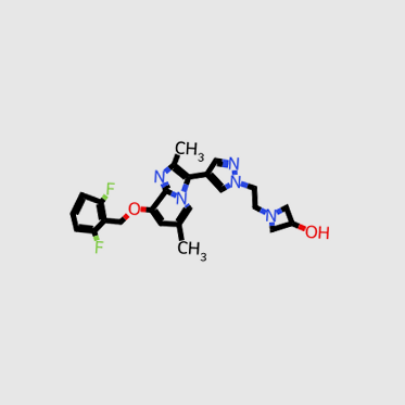 Cc1cc(OCc2c(F)cccc2F)c2nc(C)c(-c3cnn(CCN4CC(O)C4)c3)n2c1